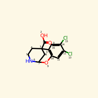 O=C(O)C12CCNC(C1)Oc1cc(Cl)c(Cl)cc12